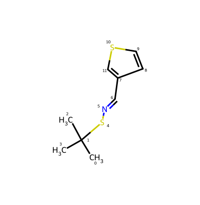 CC(C)(C)SN=Cc1ccsc1